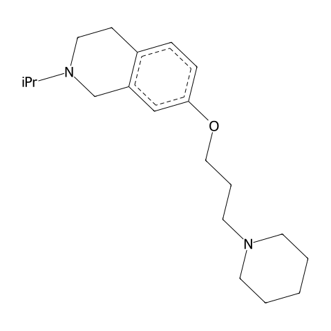 CC(C)N1CCc2ccc(OCCCN3CCCCC3)cc2C1